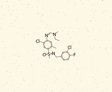 CCN(C)/C=N\c1cc(C)c(S(C)(=O)=NCc2ccc(F)c(Cl)c2)cc1Cl